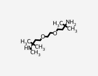 CNC(C)(C)CCOCCOCCC(C)(C)N